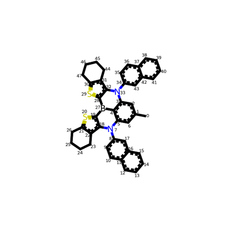 Cc1cc2c3c(c1)N(c1ccc4ccccc4c1)c1c(sc4c1CCCC4)B3c1sc3c(c1N2c1ccc2ccccc2c1)CCCC3